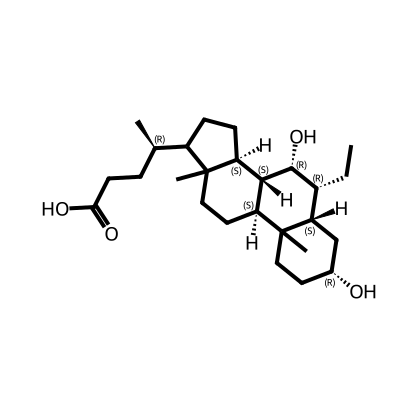 CC[C@H]1[C@@H](O)[C@H]2[C@@H]3CCC([C@H](C)CCC(=O)O)C3(C)CC[C@@H]2C2(C)CC[C@@H](O)C[C@@H]12